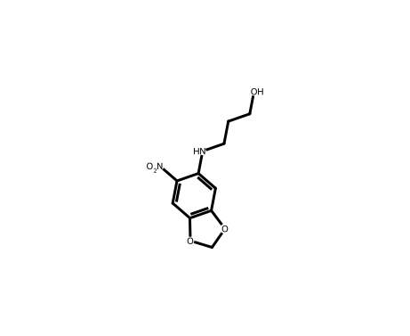 O=[N+]([O-])c1cc2c(cc1NCCCO)OCO2